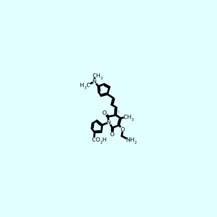 CC1=C(OCN)C(=O)N(c2cccc(C(=O)O)c2)C(=O)/C1=C\C=Cc1ccc(N(C)C)cc1